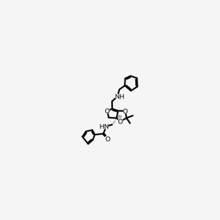 CC1(C)OC2=C(CNCc3ccccc3)OC[C@]2(CNC(=O)c2ccccc2)O1